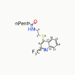 [CH2]CCC[CH]C(=O)NCCSc1cc(C(F)(F)F)nc2ccccc12